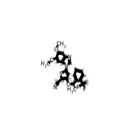 COc1cc2ncn(-c3cc(O[C@H](C)c4ccccc4C(F)(F)F)c(C#N)s3)c2cc1OC